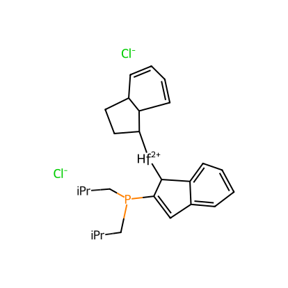 CC(C)CP(CC(C)C)C1=Cc2ccccc2[CH]1[Hf+2][CH]1CCC2C=CC=CC21.[Cl-].[Cl-]